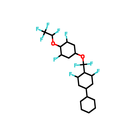 FC1CC(OC(F)(F)C2C(F)CC(C3CCCCC3)CC2F)CC(F)C1OC(F)C(F)(F)F